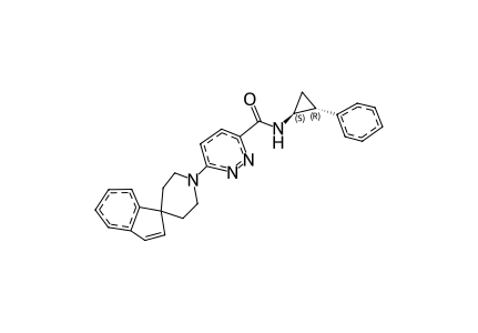 O=C(N[C@H]1C[C@@H]1c1ccccc1)c1ccc(N2CCC3(C=Cc4ccccc43)CC2)nn1